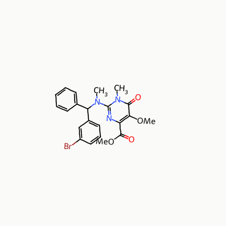 COC(=O)c1nc(N(C)C(c2ccccc2)c2cccc(Br)c2)n(C)c(=O)c1OC